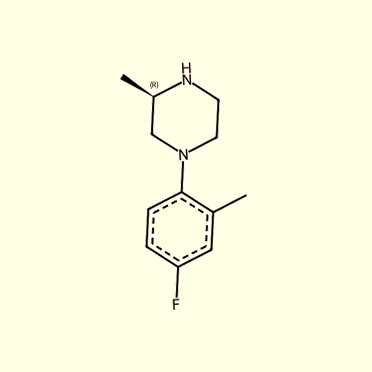 Cc1cc(F)ccc1N1CCN[C@H](C)C1